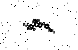 CC(C)C[C@H](C(=O)O)[C@H](Cc1ccc(Oc2ccc(CN)cc2)nc1)c1nn[nH]n1